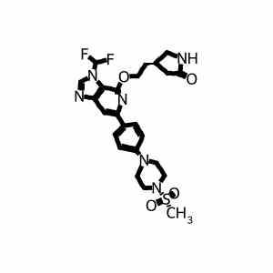 CS(=O)(=O)N1CCN(c2ccc(-c3cc4ncn(C(F)F)c4c(OCC[C@H]4CNC(=O)C4)n3)cc2)CC1